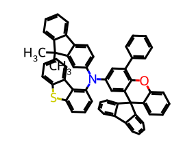 CC1(C)c2ccccc2-c2ccc(N(c3cc(-c4ccccc4)c4c(c3)C3(c5ccccc5O4)c4ccccc4-c4ccccc43)c3cccc4sc5ccccc5c34)cc21